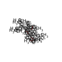 Cc1cccc(C)c1-c1ccc(N2c3ccc(-c4c(C)cccc4C)cc3B3c4cc5c(cc4N(c4c(-c6ccccc6)cccc4-c4ccccc4)c4cc(-c6c(C)cccc6C)cc2c43)Oc2cc(-n3c4ccc(C(C)(C)C)cc4c4cc(C(C)(C)C)ccc43)cc3c2B5c2ccccc2N3c2ccccc2)cc1